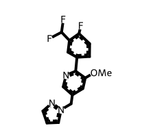 COc1cc(Cn2cccn2)cnc1-c1ccc(F)c(C(F)F)c1